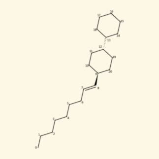 CCCCCCC/C=C/[C@H]1CC[C@H](C2CCCCC2)CC1